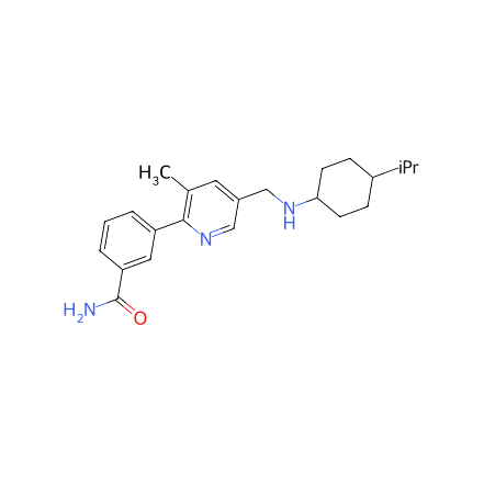 Cc1cc(CNC2CCC(C(C)C)CC2)cnc1-c1cccc(C(N)=O)c1